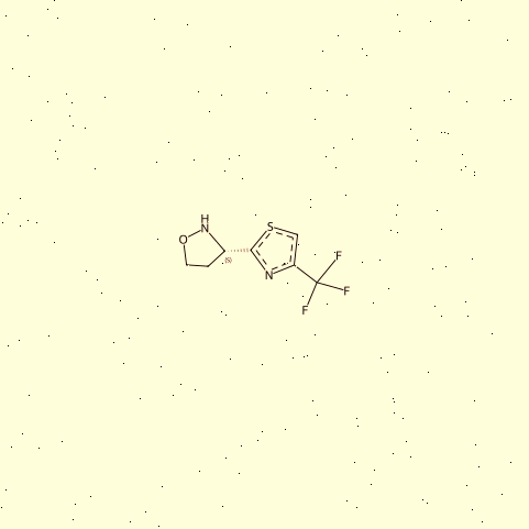 FC(F)(F)c1csc([C@@H]2CCON2)n1